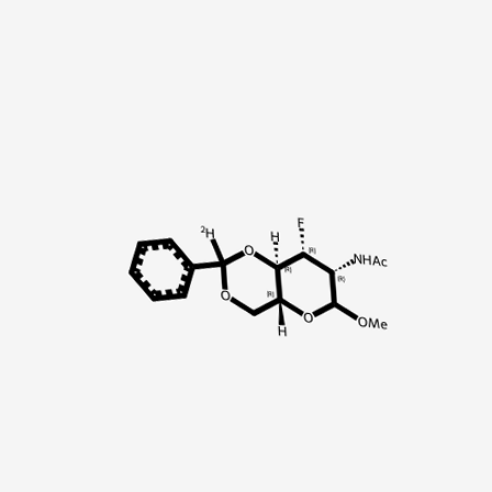 [2H]C1(c2ccccc2)OC[C@H]2OC(OC)[C@@H](NC(C)=O)[C@@H](F)[C@@H]2O1